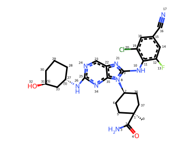 C[C@]1(C(N)=O)CC[C@@H](n2c(Nc3c(F)cc(C#N)cc3Cl)nc3cnc(N[C@H]4CCC[C@H](O)C4)nc32)CC1